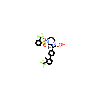 Cc1c(-c2ccc([C@@H]3[C@@H](CO)N4CCCCN(S(=O)(=O)c5ccccc5C(F)(F)F)C[C@@H]34)cc2)cccc1C(F)(F)F